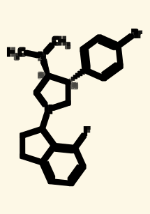 CN(C)[C@@H]1CN(C2CCc3cccc(F)c32)C[C@H]1c1ccc(Br)cc1